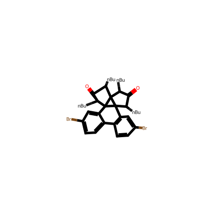 CCCCC1C(=O)C(CCCC)C23C(CCCC)C(=O)C(CCCC)C24c2cc(Br)ccc2-c2ccc(Br)cc2C143